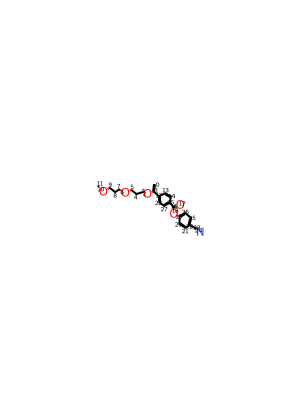 C=C(OCCCOCCCOC)c1ccc(C(=O)Oc2ccc(C#N)cc2)cc1